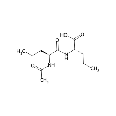 CCC[C@H](NC(=O)[C@H](CCC)NC(C)=O)C(=O)O